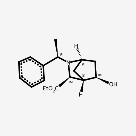 CCOC(=O)[C@@H]1[C@@H]2C[C@H](C[C@H]2O)N1[C@H](C)c1ccccc1